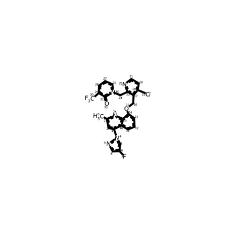 Cc1cc(-n2cc(F)cn2)c2cccc(OCc3c(Cl)ccnc3Cn3cccc(C(F)(F)F)c3=O)c2n1